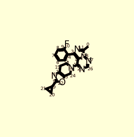 Cc1nc(-c2ccccc2F)c2c(N3CCc4nc(C5CC5)oc4C3)ncnn12